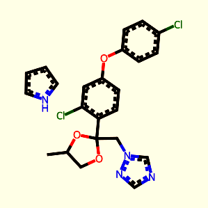 CC1COC(Cn2cncn2)(c2ccc(Oc3ccc(Cl)cc3)cc2Cl)O1.c1cc[nH]c1